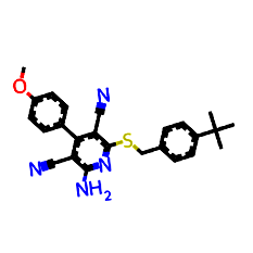 COc1ccc(-c2c(C#N)c(N)nc(SCc3ccc(C(C)(C)C)cc3)c2C#N)cc1